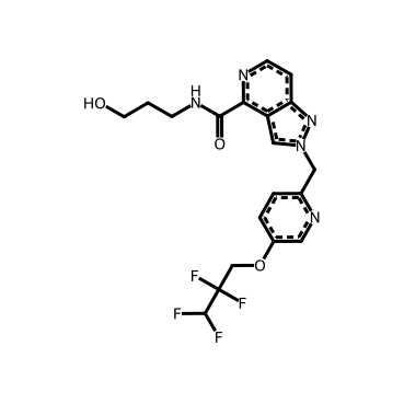 O=C(NCCCO)c1nccc2nn(Cc3ccc(OCC(F)(F)C(F)F)cn3)cc12